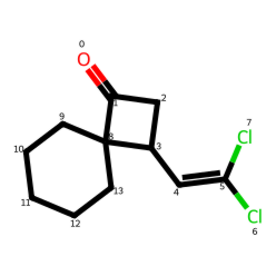 O=C1CC(C=C(Cl)Cl)C12CCCCC2